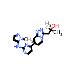 Cn1nccc1Nc1nccc(-c2ccn3c(CC(C)(C)O)nnc3c2)n1